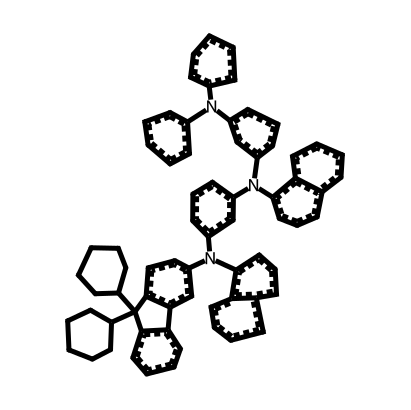 c1ccc(N(c2ccccc2)c2cccc(N(c3cccc(N(c4ccc5c(c4)-c4ccccc4C5(C4CCCCC4)C4CCCCC4)c4cccc5ccccc45)c3)c3cccc4ccccc34)c2)cc1